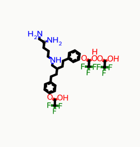 NC[C@@H](N)CCCNCC(CCc1ccccc1)CCc1ccccc1.O=C(O)C(F)(F)F.O=C(O)C(F)(F)F.O=C(O)C(F)(F)F